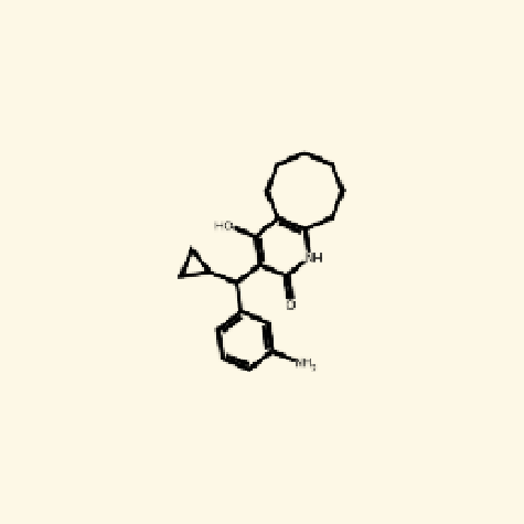 Nc1cccc(C(c2c(O)c3c([nH]c2=O)CCCCCC3)C2CC2)c1